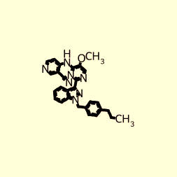 CCCc1ccc(Cn2nc(-c3ncc(OC)c(Nc4ccncc4C#N)n3)c3ccccc32)cc1